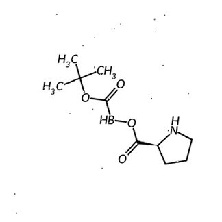 CC(C)(C)OC(=O)BOC(=O)[C@@H]1CCCN1